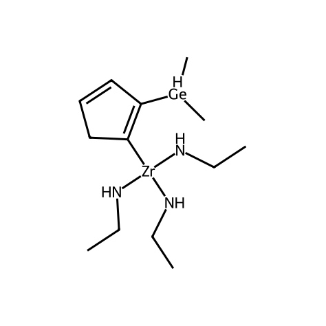 CC[NH][Zr]([NH]CC)([NH]CC)[C]1=[C]([GeH]([CH3])[CH3])C=CC1